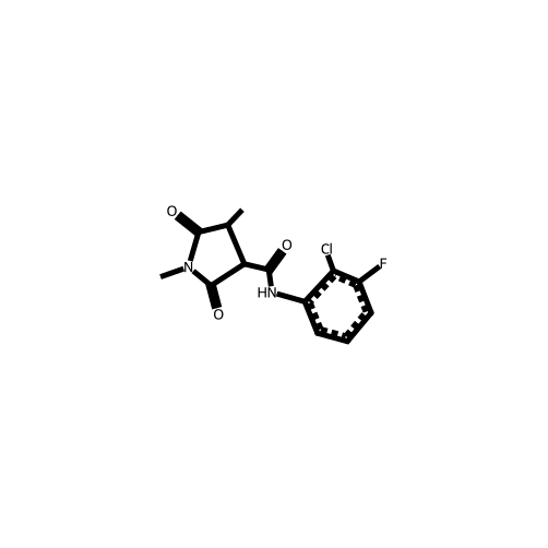 CC1C(=O)N(C)C(=O)C1C(=O)Nc1cccc(F)c1Cl